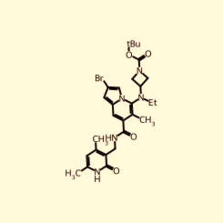 CCN(c1c(C)c(C(=O)NCc2c(C)cc(C)[nH]c2=O)cc2cc(Br)cn12)C1CN(C(=O)OC(C)(C)C)C1